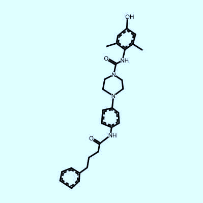 Cc1cc(O)cc(C)c1NC(=O)N1CCN(c2ccc(NC(=O)CCCc3ccccc3)cc2)CC1